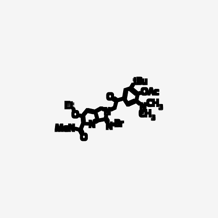 CCOc1cc2c(nc1C(=O)NC)/C(=N/Br)N(CC(=O)c1cc(N(C)C)c(OC(C)=O)c(C(C)(C)C)c1)C2